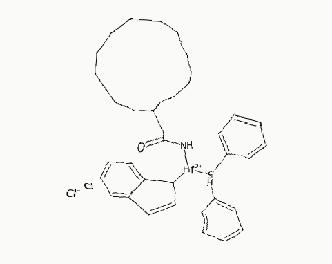 O=C([NH][Hf+2]([CH]1C=Cc2ccccc21)[SiH](c1ccccc1)c1ccccc1)C1CCCCCCCCCCC1.[Cl-].[Cl-]